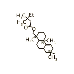 CCC(C)(C)CC(=O)OC[C@]1(C)CCC[C@@]2(C)C3=CC[C@](C)(I)CC3CCC12